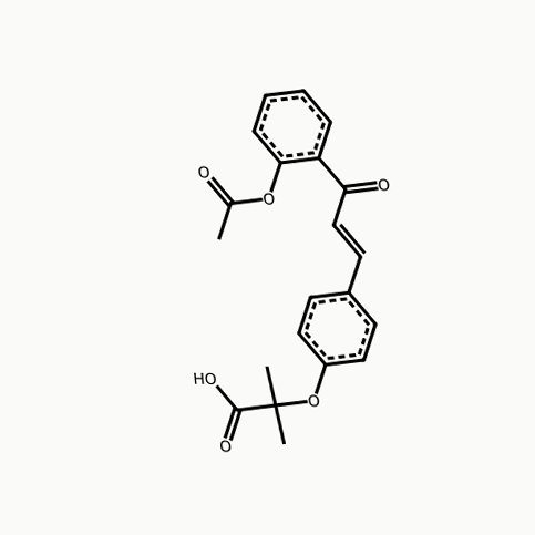 CC(=O)Oc1ccccc1C(=O)/C=C/c1ccc(OC(C)(C)C(=O)O)cc1